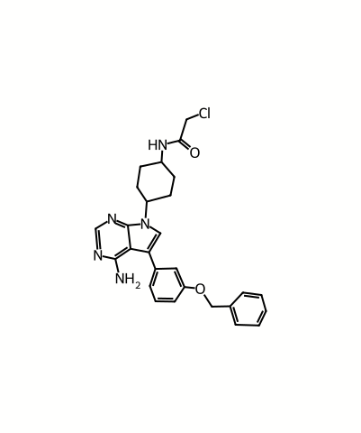 Nc1ncnc2c1c(-c1cccc(OCc3ccccc3)c1)cn2C1CCC(NC(=O)CCl)CC1